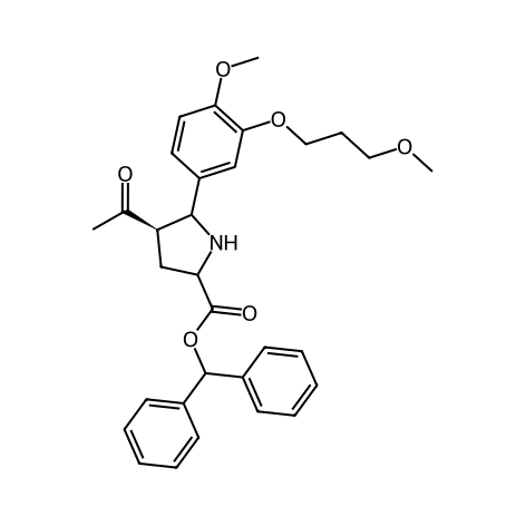 COCCCOc1cc(C2NC(C(=O)OC(c3ccccc3)c3ccccc3)C[C@H]2C(C)=O)ccc1OC